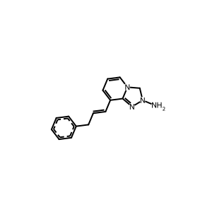 NN1CN2C=CC=C(/C=C/Cc3ccccc3)C2=N1